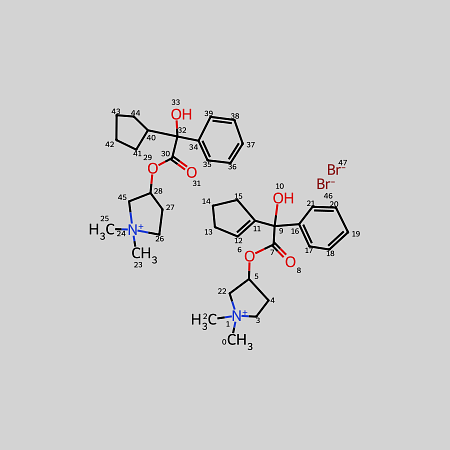 C[N+]1(C)CCC(OC(=O)C(O)(C2=CCCC2)c2ccccc2)C1.C[N+]1(C)CCC(OC(=O)C(O)(c2ccccc2)C2CCCC2)C1.[Br-].[Br-]